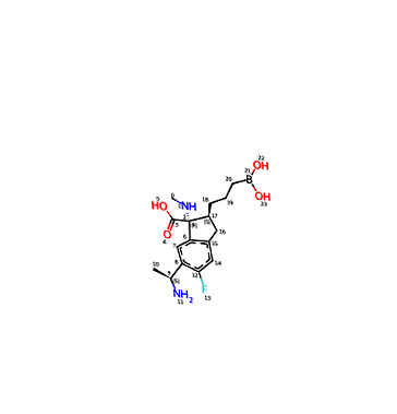 CN[C@@]1(C(=O)O)c2cc([C@H](C)N)c(F)cc2C[C@@H]1CCCB(O)O